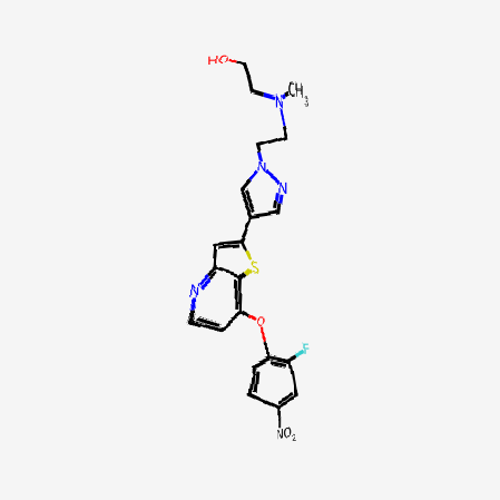 CN(CCO)CCn1cc(-c2cc3nccc(Oc4ccc([N+](=O)[O-])cc4F)c3s2)cn1